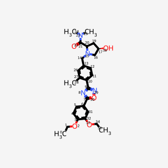 CCOc1ccc(-c2nc(-c3ccc(CN4C[C@H](O)CC4C(=O)N(C)C)cc3C)no2)cc1OCC